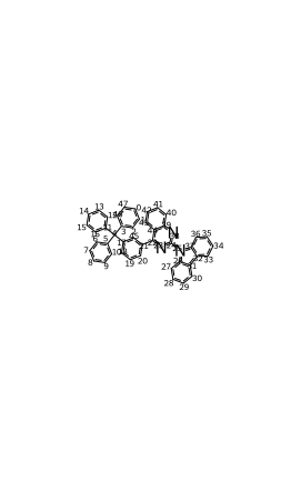 c1ccc(C(c2ccccc2)(c2ccccc2)c2cccc(-c3nc(-n4c5ccccc5c5ccccc54)nc4ccccc34)c2)cc1